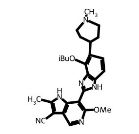 COc1ncc2c(C#N)c(C)[nH]c2c1-c1nc2c(OCC(C)C)c(C3CCN(C)CC3)ccc2[nH]1